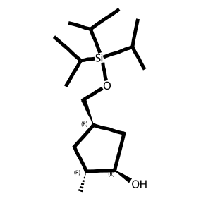 CC(C)[Si](OC[C@@H]1C[C@@H](C)[C@H](O)C1)(C(C)C)C(C)C